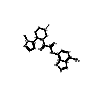 C[C@H]1CC[C@H](c2ccnn2C)N(C(=O)C(=O)Nc2cnc(N)c3cn[nH]c23)C1